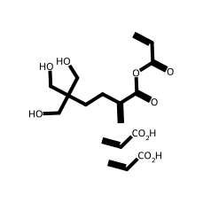 C=CC(=O)O.C=CC(=O)O.C=CC(=O)OC(=O)C(=C)CCC(CO)(CO)CO